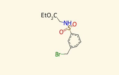 CCOC(=O)CNS(=O)(=O)c1cccc(CBr)c1